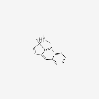 [CH3][Hf]([CH3])[C]1(C)C=Cc2cc3ccccc3cc21